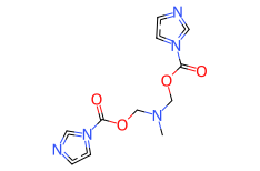 CN(COC(=O)n1ccnc1)COC(=O)n1ccnc1